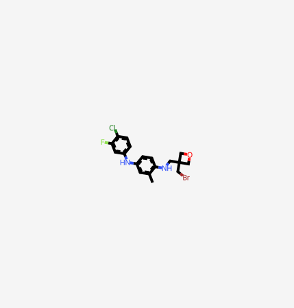 Cc1cc(Nc2ccc(Cl)c(F)c2)ccc1NCC1(CBr)COC1